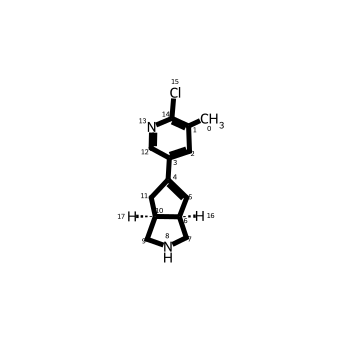 Cc1cc(C2=C[C@H]3CNC[C@H]3C2)cnc1Cl